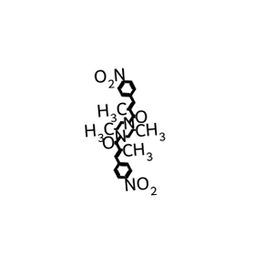 C/C(=C\c1ccc([N+](=O)[O-])cc1)C(=O)N1C[C@H](C)N(C(=O)/C(C)=C/c2ccc([N+](=O)[O-])cc2)C[C@@H]1C